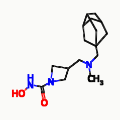 CN(CC1CN(C(=O)NO)C1)CC12CC3CC(C1)C(C3)C2